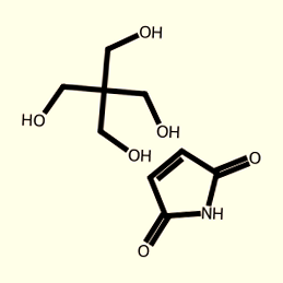 O=C1C=CC(=O)N1.OCC(CO)(CO)CO